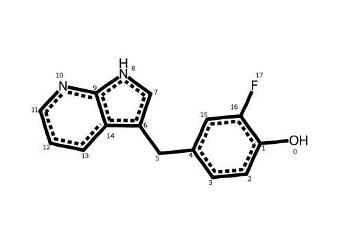 Oc1ccc(Cc2c[nH]c3ncccc23)cc1F